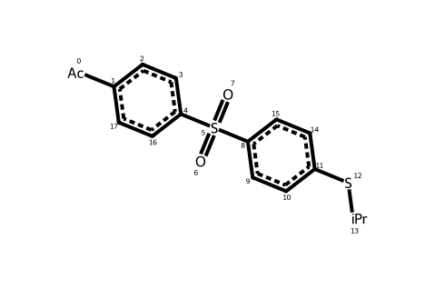 CC(=O)c1ccc(S(=O)(=O)c2ccc(SC(C)C)cc2)cc1